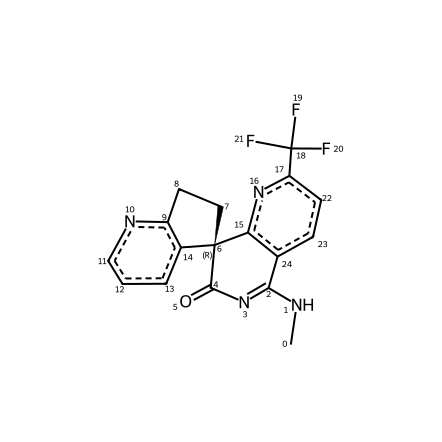 CNC1=NC(=O)[C@@]2(CCc3ncccc32)c2nc(C(F)(F)F)ccc21